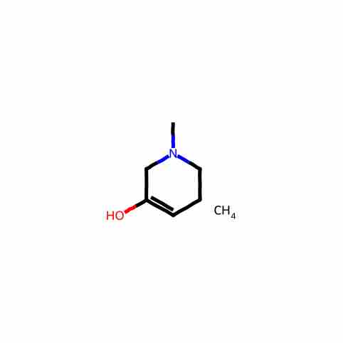 C.CN1CCC=C(O)C1